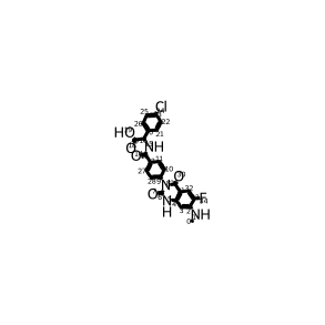 CNc1cc2[nH]c(=O)n(-c3ccc(C(=O)NC(C(=O)O)c4ccc(Cl)cc4)cc3)c(=O)c2cc1F